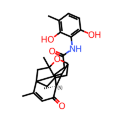 CC1=CC(=O)[C@@](C)(CCC(=O)Nc2c(O)ccc(C)c2O)C2C3CC4CC12CC4(C)O3